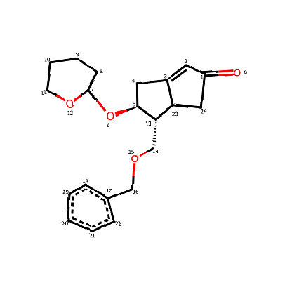 O=C1C=C2C[C@H](OC3CCCCO3)[C@@H](COCc3ccccc3)C2C1